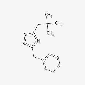 CC(C)(C)Cn1nnc(Cc2ccccc2)n1